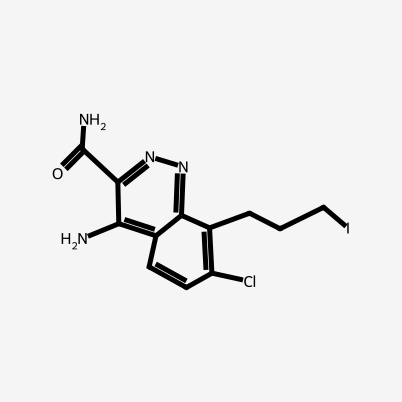 NC(=O)c1nnc2c(CCCI)c(Cl)ccc2c1N